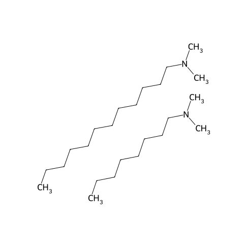 CCCCCCCCCCCCN(C)C.CCCCCCCCN(C)C